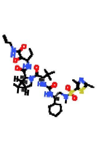 C=CCNC(=O)C(=O)C(CC)NC(=O)[C@@H]1[C@@H]2[C@H](CN1C(=O)[C@@H](NC(=O)N[C@H](CN(C)S(=O)(=O)c1sc(C)nc1C)C1CCCCC1)C(C)(C)C)C2(C)C